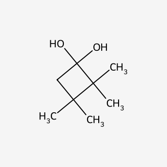 CC1(C)CC(O)(O)C1(C)C